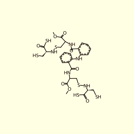 COC(=O)C(CSN[C@@H](CS)C(=O)S)NC(=O)c1ccccc1Nc1ccccc1C(=O)NC(CSN[C@@H](CS)C(=O)S)C(=O)OC